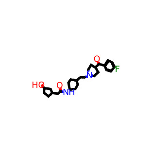 O=C(CC1CCC(O)C1)NC1CCC(CCN2CCC(C(=O)c3ccc(F)cc3)CC2)CC1